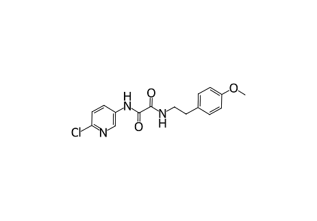 COc1ccc(CCNC(=O)C(=O)Nc2ccc(Cl)nc2)cc1